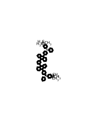 C[Si](C)(C)c1ccc(N(c2ccccc2)c2ccc(-c3c4ccccc4c(-c4cccc(-c5c6ccccc6c(-c6ccc(N(c7ccccc7)c7ccc([Si](C)(C)C)cc7)cc6)c6ccccc56)c4)c4ccccc34)cc2)cc1